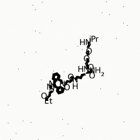 CCC(=O)CCCn1nnc2c1-c1ccccc1N(C(=O)CCC(=O)NCCCC[C@H](NC(=O)CCOCCOCCNC(C)C)C(N)=O)Cc1ccccc1-2